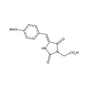 COc1ccc(/C=C2\NC(=O)N(CC(=O)O)C2=O)cc1